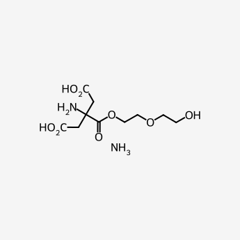 N.NC(CC(=O)O)(CC(=O)O)C(=O)OCCOCCO